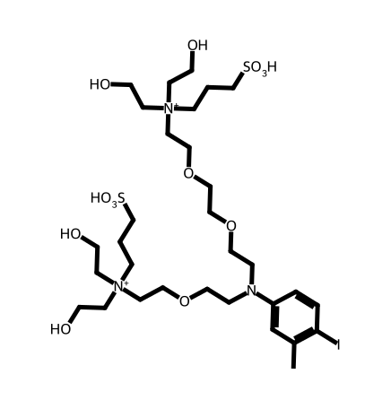 Cc1cc(N(CCOCCOCC[N+](CCO)(CCO)CCCS(=O)(=O)O)CCOCC[N+](CCO)(CCO)CCCS(=O)(=O)O)ccc1I